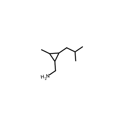 CC(C)CC1C(C)C1CN